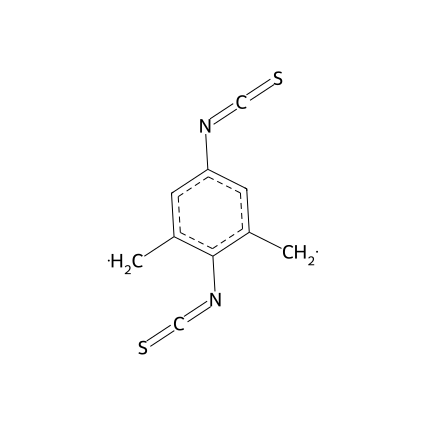 [CH2]c1cc(N=C=S)cc([CH2])c1N=C=S